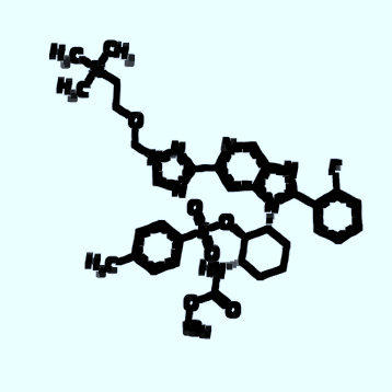 Cc1ccc(S(=O)(=O)O[C@@H]2[C@@H](NC(=O)OC(C)(C)C)CCC[C@H]2n2c(-c3ccccc3F)nc3cnc(-c4ncn(COCC[Si](C)(C)C)n4)cc32)cc1